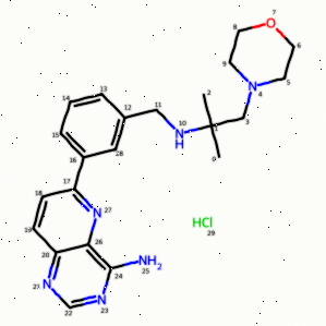 CC(C)(CN1CCOCC1)NCc1cccc(-c2ccc3ncnc(N)c3n2)c1.Cl